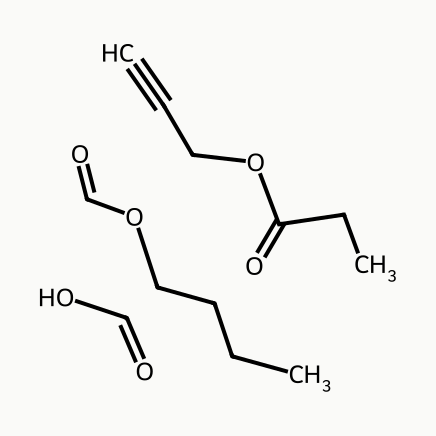 C#CCOC(=O)CC.CCCCOC=O.O=CO